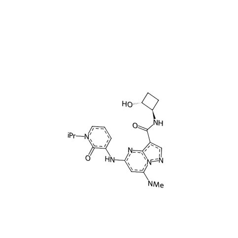 CNc1cc(Nc2cccn(C(C)C)c2=O)nc2c(C(=O)N[C@@H]3CC[C@H]3O)cnn12